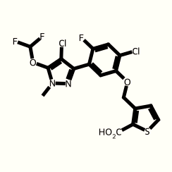 Cn1nc(-c2cc(OCc3ccsc3C(=O)O)c(Cl)cc2F)c(Cl)c1OC(F)F